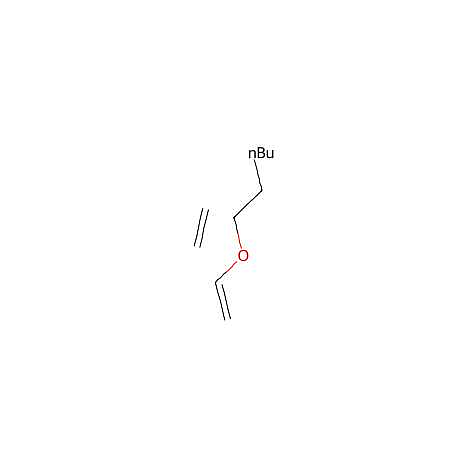 C=C.C=COCCCCCC